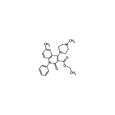 CCOC(=O)c1c(N2CCN(C)CC2)c2cc(C)ccc2n(-c2ccccc2)c1=O